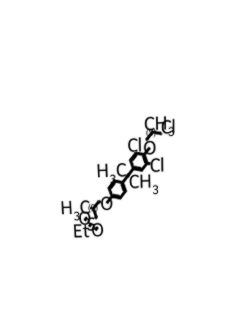 CCS(=O)(=O)C[C@@H](C)COc1ccc(C(C)(C)c2cc(Cl)c(OC[C@H](C)CCl)c(Cl)c2)cc1